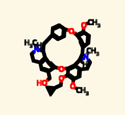 COc1ccc2cc1Oc1ccc(cc1)C[C@H]1c3cc(c(CO)cc3CCN1C)Oc1c(OCC3CC3)c(OC)cc3c1[C@H](C2)N(C)CC3